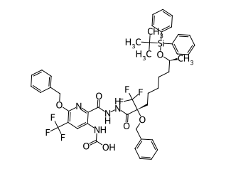 C[C@@H](CCCCC[C@@](OCc1ccccc1)(C(=O)NNC(=O)c1nc(OCc2ccccc2)c(C(F)(F)F)cc1NC(=O)O)C(F)(F)F)O[Si](c1ccccc1)(c1ccccc1)C(C)(C)C